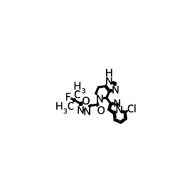 CC(C)(F)c1nnc(C(=O)N2CCc3[nH]cnc3C2c2cc3cccc(Cl)n3n2)o1